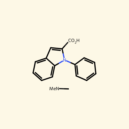 CNC.O=C(O)c1cc2ccccc2n1-c1ccccc1